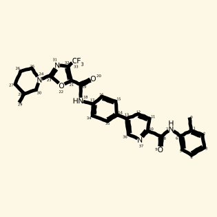 Cc1ccccc1NC(=O)c1ccc(-c2ccc(NC(=O)c3oc(N4CCCC(C)C4)nc3C(F)(F)F)cc2)cn1